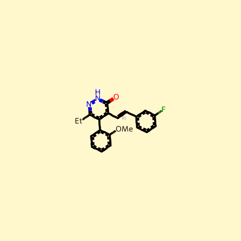 CCc1n[nH]c(=O)c(/C=C/c2cccc(F)c2)c1-c1ccccc1OC